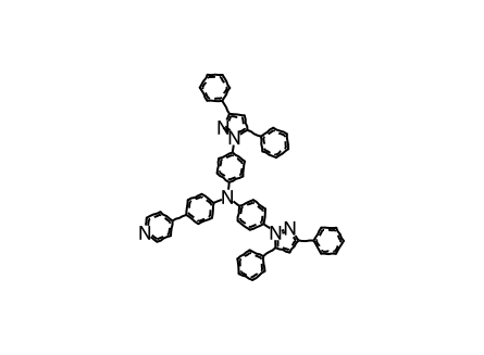 c1ccc(-c2cc(-c3ccccc3)n(-c3ccc(N(c4ccc(-c5ccncc5)cc4)c4ccc(-n5nc(-c6ccccc6)cc5-c5ccccc5)cc4)cc3)n2)cc1